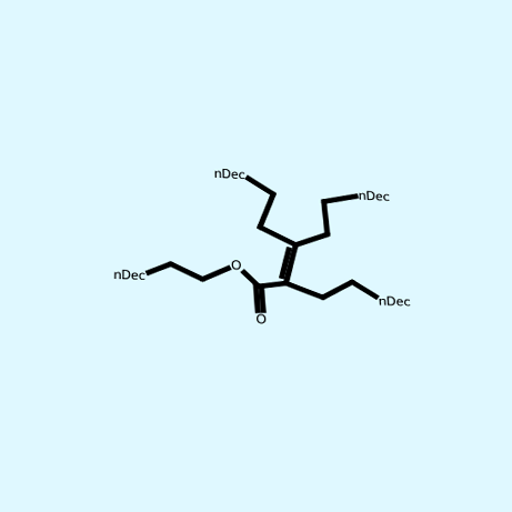 CCCCCCCCCCCCOC(=O)C(CCCCCCCCCCCC)=C(CCCCCCCCCCCC)CCCCCCCCCCCC